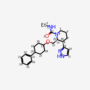 CCNC(=O)N1CCC[C@@H](c2cc[nH]n2)[C@H]1COC1CCC(c2ccccc2)CC1